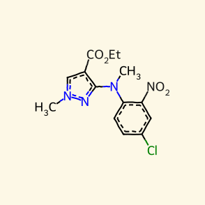 CCOC(=O)c1cn(C)nc1N(C)c1ccc(Cl)cc1[N+](=O)[O-]